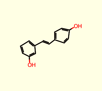 Oc1ccc(C=Cc2cccc(O)c2)cc1